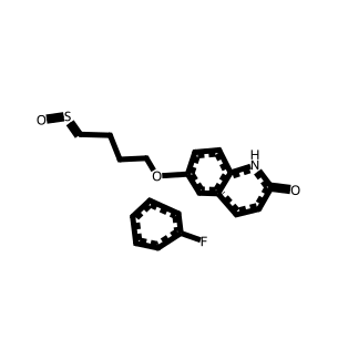 Fc1ccccc1.O=S=CCCCOc1ccc2[nH]c(=O)ccc2c1